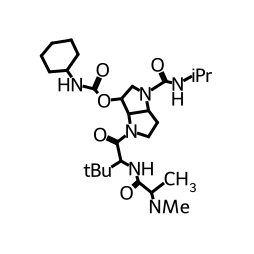 CNC(C)C(=O)NC(C(=O)N1CCC2C1C(OC(=O)NC1CCCCC1)CN2C(=O)NC(C)C)C(C)(C)C